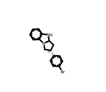 Brc1ccc([C@H]2CC3Nc4ccccc4N3C2)cc1